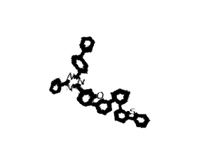 c1ccc(-c2ccc(-c3nc(-c4ccccc4)nc(-c4ccc5c(c4)oc4c(-c6ccccc6-c6cccc7c6sc6ccccc67)cccc45)n3)cc2)cc1